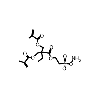 C=C(C)C(=O)OCC(CC)(COC(=O)C(=C)C)C(=O)OCCS(=O)(=O)ON